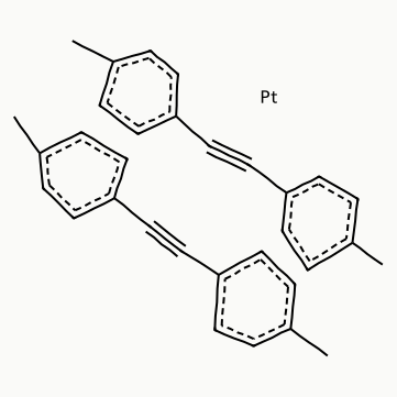 Cc1ccc(C#Cc2ccc(C)cc2)cc1.Cc1ccc(C#Cc2ccc(C)cc2)cc1.[Pt]